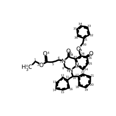 CCOC(=O)CCN1CN(C(c2ccccc2)c2ccccc2)n2ccc(=O)c(OCc3ccccc3)c2C1=O